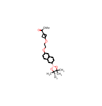 COC(=O)C12CC(OCCOc3ccc4cc(B5OC(C)(C)C(C)(C)O5)ccc4c3)(C1)C2